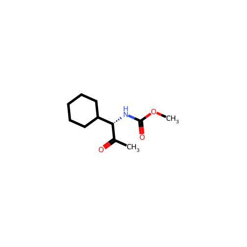 COC(=O)N[C@H](C(C)=O)C1CCCCC1